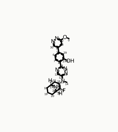 COc1cc(-c2ccc(-c3ncc(N(C)[C@H]4C[C@@H]5CCC[C@@H](N5)[C@H]4F)nn3)c(O)c2)cnn1